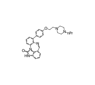 CCCN1CCN(CCOc2ccc(-c3cccc4c3N=Cc3cccc5[nH]c(=O)n-4c35)cc2)CC1